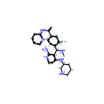 C=C(Nc1ccccn1)c1ccc(C(NC)c2c(NC3CCCNC3)ccnc2N)c(F)c1